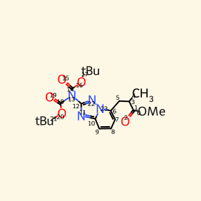 COC(=O)C(C)Cc1cccc2nc(N(C(=O)OC(C)(C)C)C(=O)OC(C)(C)C)nn12